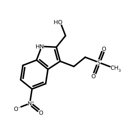 CS(=O)(=O)CCc1c(CO)[nH]c2ccc([N+](=O)[O-])cc12